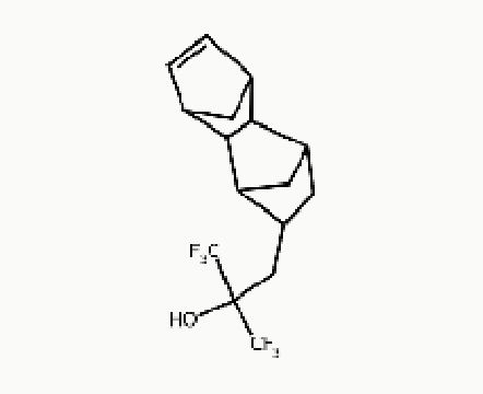 OC(CC1CC2CC1C1C3C=CC(C3)C21)(C(F)(F)F)C(F)(F)F